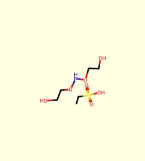 CCS(=O)(=O)O.OCCONOCCO